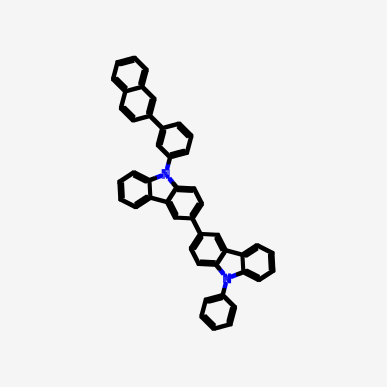 c1ccc(-n2c3ccccc3c3cc(-c4ccc5c(c4)c4ccccc4n5-c4cccc(-c5ccc6ccccc6c5)c4)ccc32)cc1